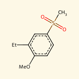 CCc1cc(S(C)(=O)=O)ccc1OC